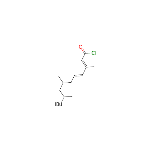 CCC(C)C(C)CC(C)CC=CC(C)=CC(=O)Cl